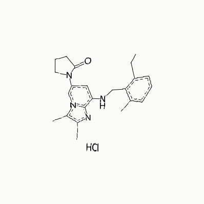 CCc1cccc(C)c1CNc1cc(N2CCCC2=O)cn2c(C)c(C)nc12.Cl